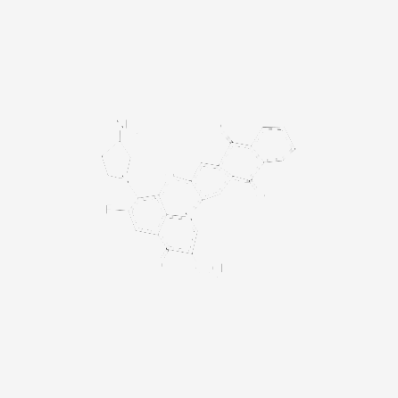 NC1CCN(c2c(F)cc3c(=O)c(C(=O)O)cn4c5cc6c(=O)c7ccccc7c(=O)c6cc5oc2c34)C1